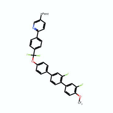 CCCCCc1ccc(-c2ccc(C(F)(F)Oc3ccc(-c4ccc(-c5ccc(OC(F)(F)F)c(F)c5)c(F)c4)cc3)cc2)nc1